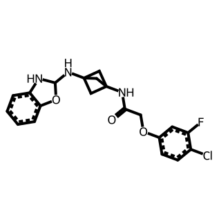 O=C(COc1ccc(Cl)c(F)c1)NC12CC(NC3Nc4ccccc4O3)(C1)C2